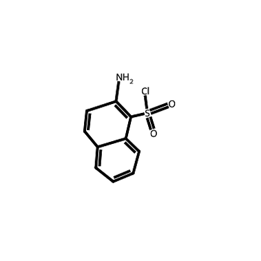 Nc1ccc2ccccc2c1S(=O)(=O)Cl